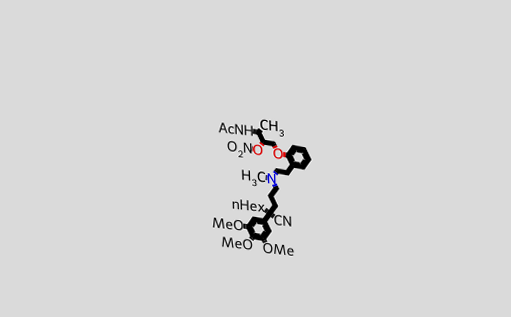 CCCCCCC(C#N)(CCCN(C)CCc1ccccc1OCC(O[N+](=O)[O-])C(C)NC(C)=O)c1cc(OC)c(OC)c(OC)c1